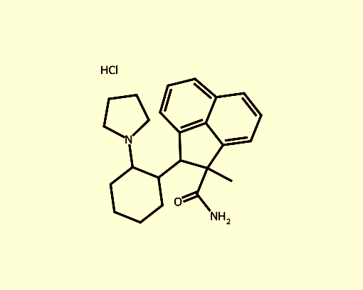 CC1(C(N)=O)c2cccc3cccc(c23)C1C1CCCCC1N1CCCC1.Cl